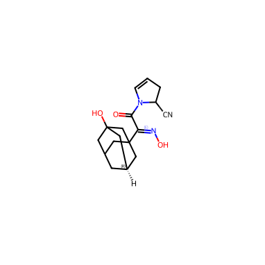 N#CC1CC=CN1C(=O)/C(=N/O)C12CC3C[C@@H](CC(O)(C3)C1)C2